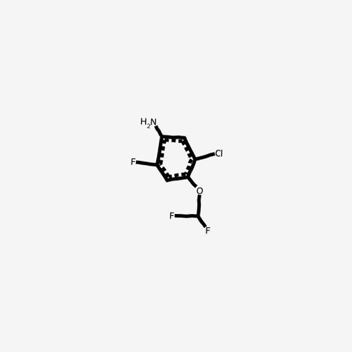 Nc1cc(Cl)c(OC(F)F)cc1F